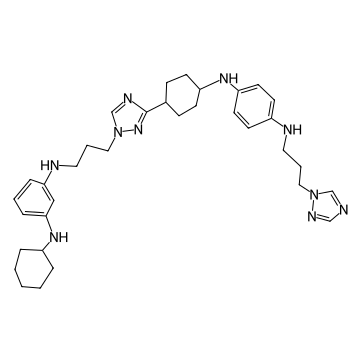 c1cc(NCCCn2cnc(C3CCC(Nc4ccc(NCCCn5cncn5)cc4)CC3)n2)cc(NC2CCCCC2)c1